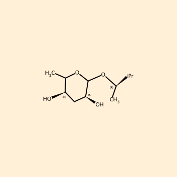 CC1OC(O[C@H](C)C(C)C)[C@@H](O)C[C@H]1O